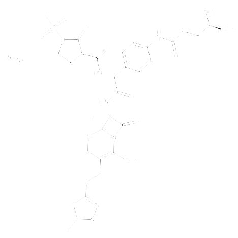 Cc1nnc(SCC2=C(C(=O)[O-])N3C(=O)[C@@H](NC(=O)[C@H](NC(=O)N4CCN(S(C)(=O)=O)C4=O)c4ccc(NC(=O)OC[C@@H](N)C(=O)[O-])cc4)[C@@H]3SC2)s1.[Na+].[Na+]